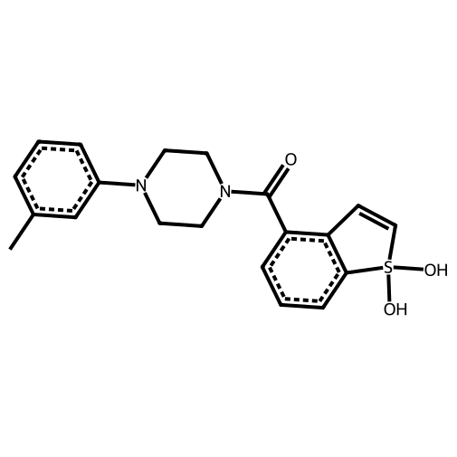 Cc1cccc(N2CCN(C(=O)c3cccc4c3C=CS4(O)O)CC2)c1